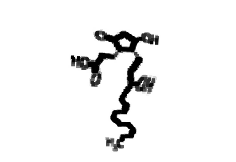 CC/C=C\C/C=C\C/C=C\C[C@H](O)/C=C/[C@H]1[C@H](O)CC(=O)[C@H]1CCC(=O)O